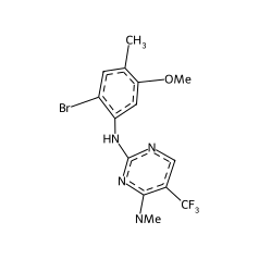 CNc1nc(Nc2cc(OC)c(C)cc2Br)ncc1C(F)(F)F